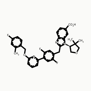 Cc1cc(F)ccc1COc1cccc(-c2cc(F)c(Cc3nc4ccc(C(=O)O)cc4n3[C@@H]3COCC3(C)C)cc2F)n1